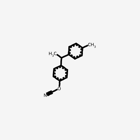 Cc1ccc(C(C)c2ccc(OC#N)cc2)cc1